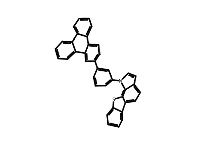 c1cc(-c2ccc3c4ccccc4c4ccccc4c3c2)cc(-n2ccc3ccc4c5ccccc5sc4c32)c1